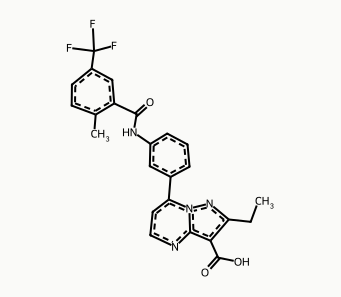 CCc1nn2c(-c3cccc(NC(=O)c4cc(C(F)(F)F)ccc4C)c3)ccnc2c1C(=O)O